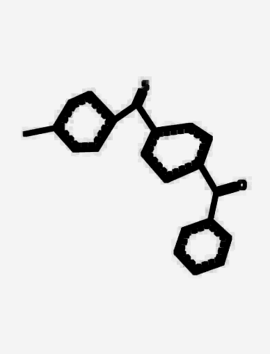 Cc1ccc(C(=S)c2ccc(C(=O)c3ccccc3)cc2)cc1